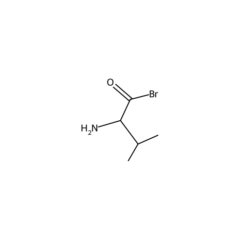 CC(C)C(N)C(=O)Br